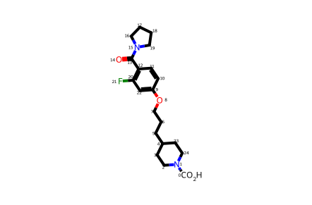 O=C(O)N1CCC(CCCOc2ccc(C(=O)N3CCCC3)c(F)c2)CC1